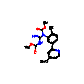 CCc1ccc(-c2cc(OC)ccn2)cc1N(C(=N)NC(=O)OC(C)(C)C)C(=O)OC(C)(C)C